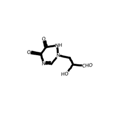 O=CC(O)Cn1[c]nc(=O)c(=O)[nH]1